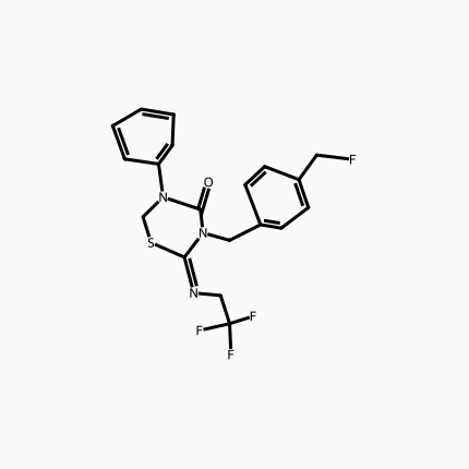 O=C1N(Cc2ccc(CF)cc2)/C(=N\CC(F)(F)F)SCN1c1ccccc1